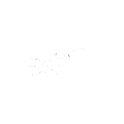 CCCCCCCCCCCCCC(=O)N[C@@H]1O[C@H](CO)[C@@H](O[C@@H]2O[C@H](CO)[C@@H](O)[C@H](O)[C@@H]2O)[C@H](O)[C@@H]1O